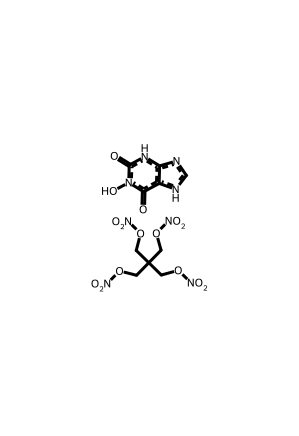 O=[N+]([O-])OCC(CO[N+](=O)[O-])(CO[N+](=O)[O-])CO[N+](=O)[O-].O=c1[nH]c2nc[nH]c2c(=O)n1O